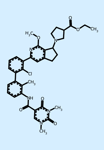 CCOC(=O)C1CCN(C2CCc3cc(-c4cccc(-c5cccc(NC(=O)c6cn(C)c(=O)n(C)c6=O)c5C)c4Cl)nc(OC)c32)C1